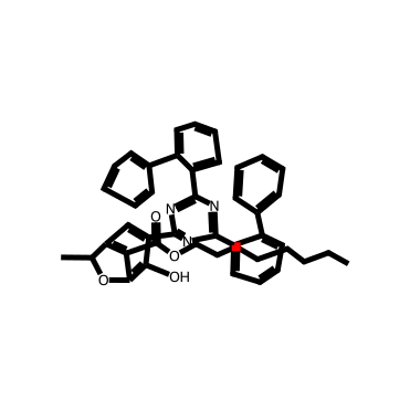 CCCCCCCCOC(=O)c1c2cc(-c3nc(-c4ccccc4-c4ccccc4)nc(-c4ccccc4-c4ccccc4)n3)c(O)c1OC2C